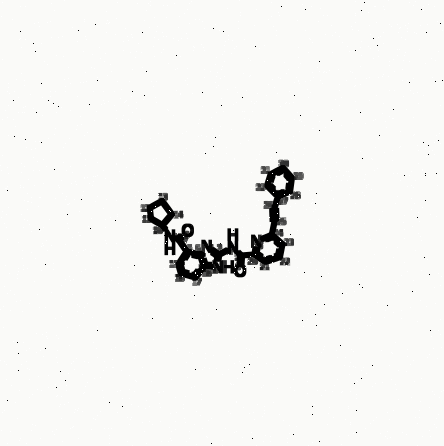 O=C(Nc1nc2c(C(=O)NC3CCCC3)cccc2[nH]1)c1cccc(C#Cc2ccccc2)n1